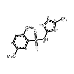 COc1ccc(OC)c(S(=O)(=O)Nc2nnc(C(F)(F)F)s2)c1